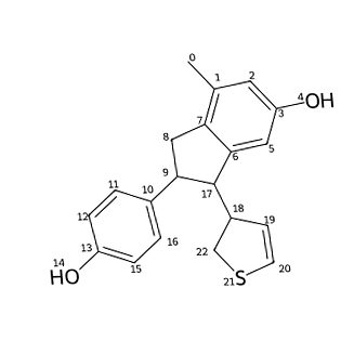 Cc1cc(O)cc2c1CC(c1ccc(O)cc1)C2C1C=CSC1